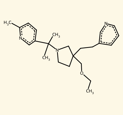 CCOCC1(CCc2cccnc2)CCN(C(C)(C)c2ccc(C)nc2)C1